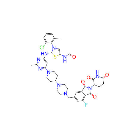 Cc1nc(NC2SC(NC=O)=CN2c2c(C)cccc2Cl)cc(N2CCC(N3CCN(Cc4cc(F)c5c(c4)C(=O)N(C4CCC(=O)NC4=O)C5=O)CC3)CC2)n1